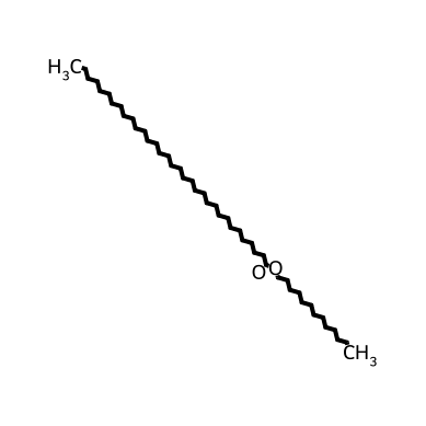 CCCCCCCCCCCCCCCCCCCCCCCCCCCCCCCCC(=O)OCCCCCCCCCCCCC